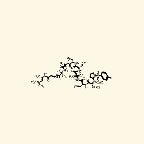 CCCCCCCC[C@@H](C(=O)N[C@@H](CC(C)C)C(=O)NC(C)(C)C(=O)N[C@@H](CC(C)C)C(=O)N[C@@H](CC(C)C)C(=O)NC(C)(C)C(=O)NC(C)(C)C(=O)NCCC(=O)N[C@@H](C)CN(C)C)N(C=O)[C@@H]1CCCN1S(=O)(=O)c1ccc(F)cc1